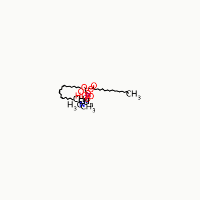 CCCCC/C=C\C/C=C\C/C=C\CCCCCCC(=O)O[C@H](COC(=O)CCCCCCCCCCCCCCC)COP(=O)(O)OCC[N+](C)(C)C